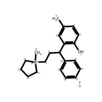 Cc1ccc(O)c(C(CC[N+]2(C)CCCC2)c2ccccc2)c1.[I-]